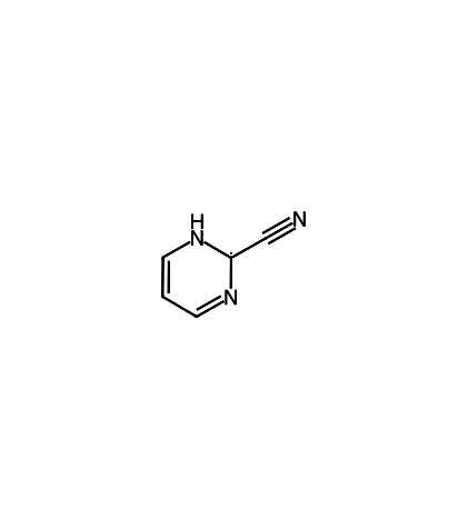 N#C[C]1N=CC=CN1